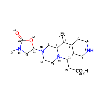 CCC(C1CCNCC1)C1CN(C2CN(C)C(=O)O2)CCN1CCC(=O)O